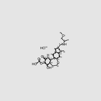 COCC(C)NCc1cc2cc3c(cc2n1C)OCCc1c-3[nH]c(=O)c(OC(=O)O)c1O.Cl